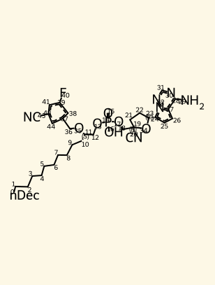 CCCCCCCCCCCCCCCCCCCC[C@@H](COP(=O)(O)OC[C@]1(C#N)CC[C@H](c2ccc3c(N)ncnn23)O1)OCc1cc(F)cc(C#N)c1